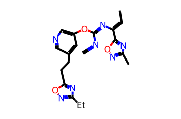 C=N/C(=N\C(=C/C)c1nc(C)no1)Oc1cncc(CCc2nc(CC)no2)c1